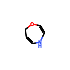 C1=CNC=COC1